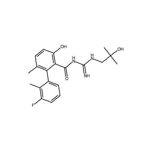 Cc1ccc(O)c(C(=O)NC(=N)NCC(C)(C)O)c1-c1cccc(F)c1C